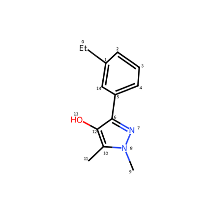 CCc1cccc(-c2nn(C)c(C)c2O)c1